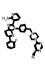 N#Cc1cc(N2CCN(Cc3ccc(-n4c(-c5cccnc5N)nc5ccc(-c6ccccc6F)nc54)cc3)CC2)ncn1